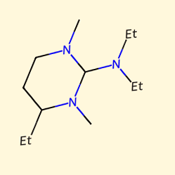 CCC1CCN(C)C(N(CC)CC)N1C